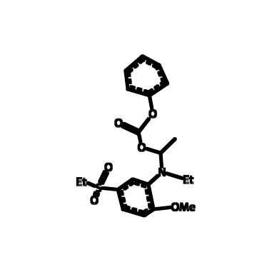 CCN(c1cc(S(=O)(=O)CC)ccc1OC)C(C)OC(=O)Oc1ccccc1